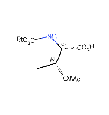 CCOC(=O)N[C@H](C(=O)O)[C@@H](C)OC